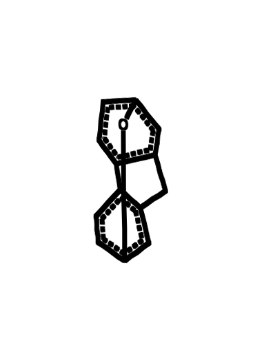 c1cc2c3cc1Oc1ccc-2c(c1)C3